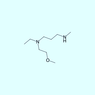 CCN(CCCNC)CCOC